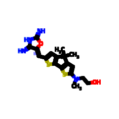 CN(CCO)c1cc2c(s1)-c1sc(/C=C3\OC(=N)NC3=N)cc1[Si]2(C)C